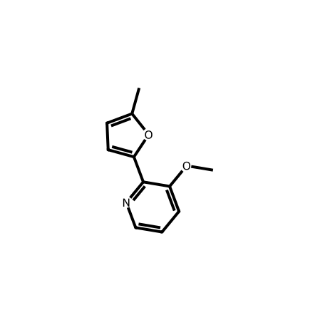 COc1cccnc1-c1ccc(C)o1